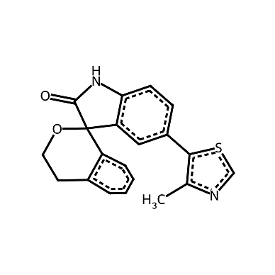 Cc1ncsc1-c1ccc2c(c1)C1(OCCc3ccccc31)C(=O)N2